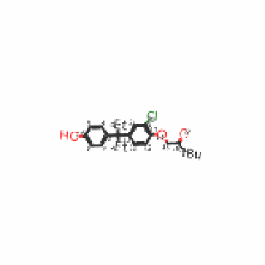 CCC(CC)(c1ccc(O)cc1)c1ccc(OCC(=O)C(C)(C)C)c(Cl)c1